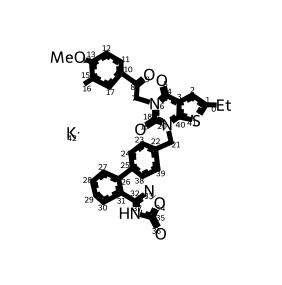 CCc1cc2c(=O)n(CC(=O)c3ccc(OC)c(C)c3)c(=O)n(Cc3ccc(-c4ccccc4-c4noc(=O)[nH]4)cc3)c2s1.[K]